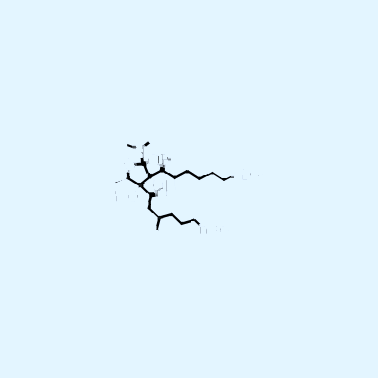 CCCCCCCCCCCCCCCC(=O)[C@]1(O)C(O)(N(C)C)O[C@H](C)[C@]1(O)C(=O)CC(C)CCCCCCCCCCCCC